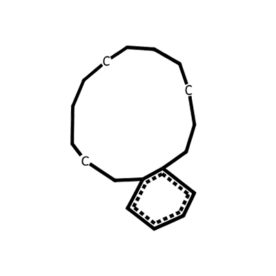 c1ccc2c(c1)CCCCCCCCCCCC2